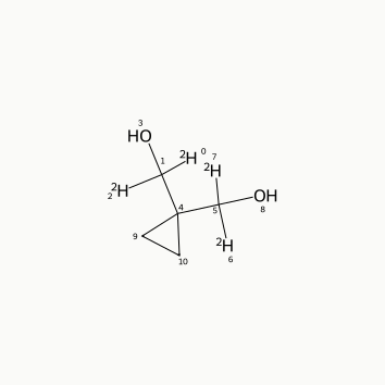 [2H]C([2H])(O)C1(C([2H])([2H])O)CC1